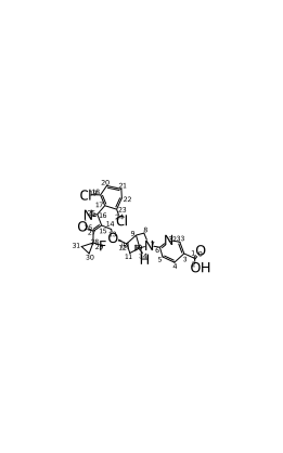 O=C(O)c1ccc(N2CC3[C@H]2C[C@H]3OCc2c(-c3c(Cl)cccc3Cl)noc2C2(F)CC2)nc1